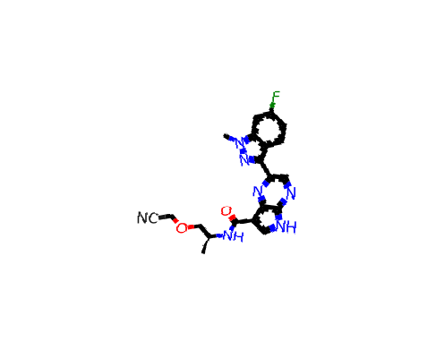 C[C@@H](COCC#N)NC(=O)c1c[nH]c2ncc(-c3nn(C)c4cc(F)ccc34)nc12